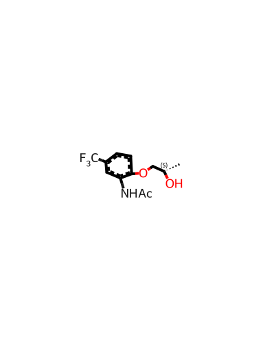 CC(=O)Nc1cc(C(F)(F)F)ccc1OC[C@H](C)O